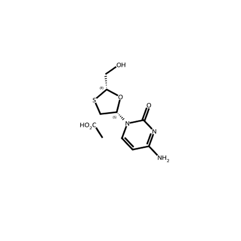 CC(=O)O.Nc1ccn([C@@H]2CS[C@H](CO)O2)c(=O)n1